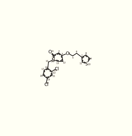 O=c1cc(OCCc2ccsc2)ccn1Cc1ccc(Cl)cc1Cl